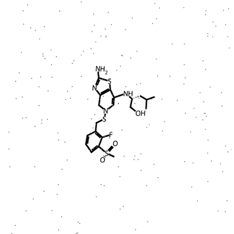 CC(C)C[C@H](CO)NC1=CN(SCc2cccc(S(C)(=O)=O)c2F)Cc2nc(N)sc21